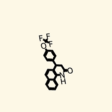 O=C1CC(c2ccc(OC(F)(F)F)cc2)c2ccc3ccccc3c2N1